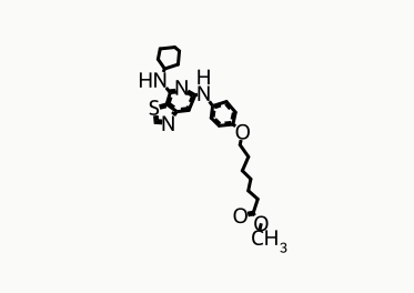 COC(=O)CCCCCCOc1ccc(Nc2cc3ncsc3c(NC3CCCCC3)n2)cc1